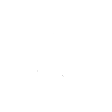 CC(C)CC(c1ccc(C2=[N+]([O-])C(C)(C)C(C)(C)N2O)cc1)C(C)C